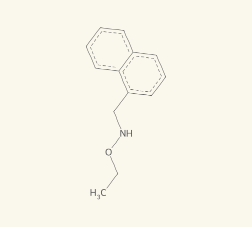 CCONCc1cccc2ccccc12